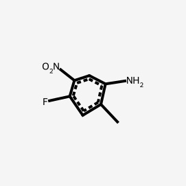 Cc1cc(F)c([N+](=O)[O-])cc1N